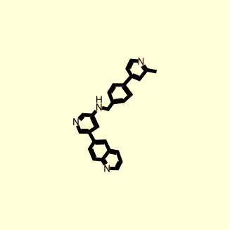 Cc1cc(-c2ccc(CNc3cncc(-c4ccc5ncccc5c4)c3)cc2)ccn1